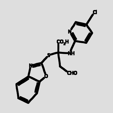 O=CCC(Nc1ccc(Cl)cn1)(Sc1nc2ccccc2o1)C(=O)O